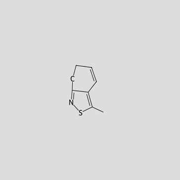 Cc1snc2c1C=CCC2